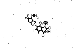 COc1c(N2CC3CC(F)(F)C(N)C3C2)c(F)c(C)c2c(=O)[nH]c(=O)n(C3CC3)c12